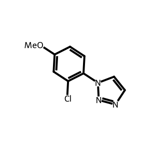 COc1ccc(-n2ccnn2)c(Cl)c1